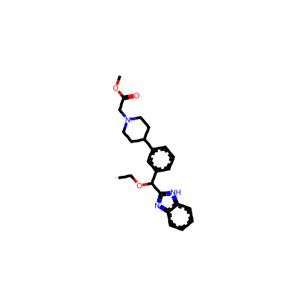 [CH2]COC(c1cccc(C2CCN(CC(=O)OC)CC2)c1)c1nc2ccccc2[nH]1